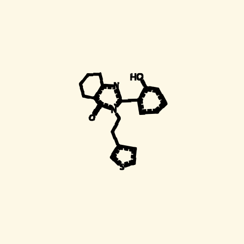 O=c1c2c(nc(-c3ccccc3O)n1CCc1ccsc1)CCCC2